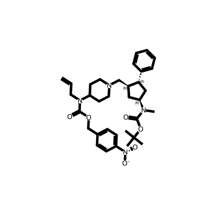 C=CCN(C(=O)OCc1ccc([N+](=O)[O-])cc1)C1CCN(C[C@@H]2C[C@H](N(C)C(=O)OC(C)(C)C)C[C@H]2c2ccccc2)CC1